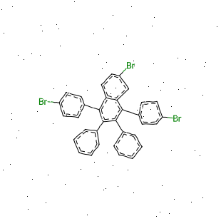 Brc1ccc(-c2c(-c3ccccc3)c(-c3ccccc3)c(-c3ccc(Br)cc3)c3cc(Br)ccc23)cc1